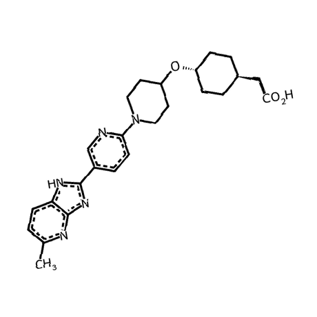 Cc1ccc2[nH]c(-c3ccc(N4CCC(O[C@H]5CC[C@H](CC(=O)O)CC5)CC4)nc3)nc2n1